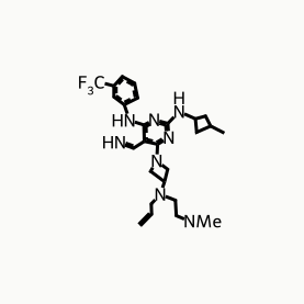 C=CCN(CCNC)C1CN(c2nc(NC3CC(C)C3)nc(Nc3cccc(C(F)(F)F)c3)c2C=N)C1